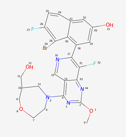 COc1nc(N2CCOCC(CO)C2)c2cnc(-c3cc(O)cc4ccc(F)c(Br)c34)c(F)c2n1